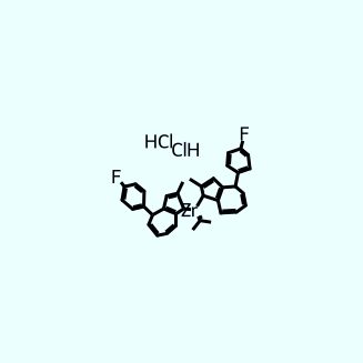 CC1=CC2=C(C=CC=CC2c2ccc(F)cc2)[CH]1[Zr](=[C](C)C)[CH]1C(C)=CC2=C1C=CC=CC2c1ccc(F)cc1.Cl.Cl